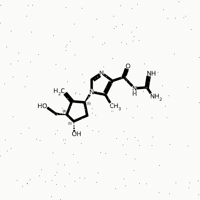 C=C1[C@H](CO)[C@@H](O)C[C@@H]1n1cnc(C(=O)NC(=N)N)c1C